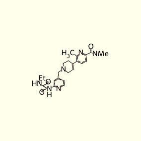 CCNS(=O)(=O)Nc1cc(CN2CC=C(c3ccc(C(=O)NC)nc3C)CC2)ccn1